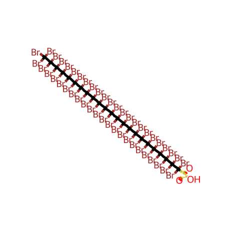 O=S(=O)(O)C(Br)(Br)C(Br)(Br)C(Br)(Br)C(Br)(Br)C(Br)(Br)C(Br)(Br)C(Br)(Br)C(Br)(Br)C(Br)(Br)C(Br)(Br)C(Br)(Br)C(Br)(Br)C(Br)(Br)C(Br)(Br)C(Br)(Br)C(Br)(Br)C(Br)(Br)C(Br)(Br)C(Br)(Br)C(Br)(Br)C(Br)(Br)C(Br)(Br)C(Br)(Br)Br